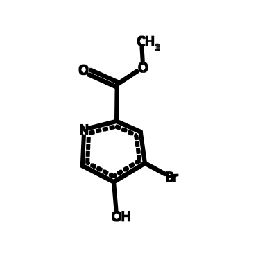 COC(=O)c1cc(Br)c(O)cn1